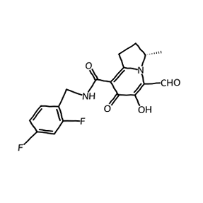 C[C@H]1CCc2c(C(=O)NCc3ccc(F)cc3F)c(=O)c(O)c(C=O)n21